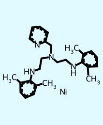 Cc1cccc(C)c1NCCN(CCNc1c(C)cccc1C)Cc1ccccn1.[Ni]